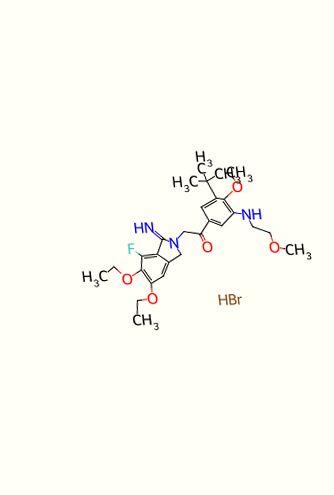 Br.CCOc1cc2c(c(F)c1OCC)C(=N)N(CC(=O)c1cc(NCCOC)c(OC)c(C(C)(C)C)c1)C2